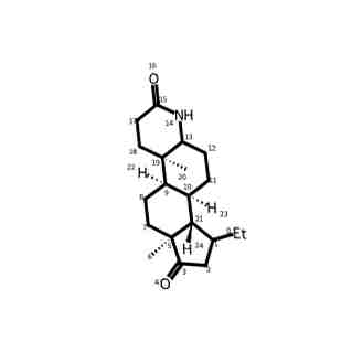 CCC1CC(=O)[C@@]2(C)CC[C@@H]3[C@@H](CCC4NC(=O)CC[C@@]43C)[C@H]12